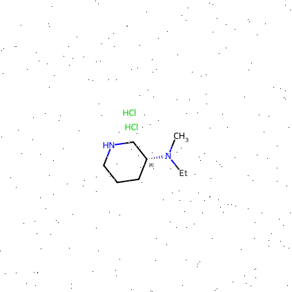 CCN(C)[C@@H]1CCCNC1.Cl.Cl